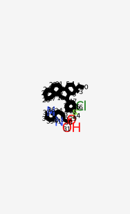 C=CC1(C)C=CC2=C(C1)C(c1ccc(F)c(Cl)c1)Cc1c2ccc2ccccc12.O=C(O)c1ccc2ncccc2n1